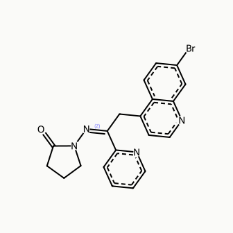 O=C1CCCN1/N=C(/Cc1ccnc2cc(Br)ccc12)c1ccccn1